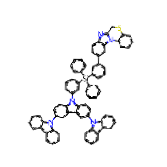 c1ccc([Si](c2ccccc2)(c2cccc(-c3ccc4nc5n(c4c3)-c3ccccc3SC5)c2)c2cccc(-n3c4ccc(-n5c6ccccc6c6ccccc65)cc4c4cc(-n5c6ccccc6c6ccccc65)ccc43)c2)cc1